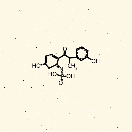 CC(C(=O)C1=CC=C(O)CC1=NP(=O)(O)O)c1cccc(O)c1